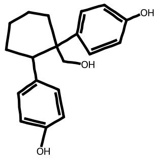 OCC1(c2ccc(O)cc2)CCCCC1c1ccc(O)cc1